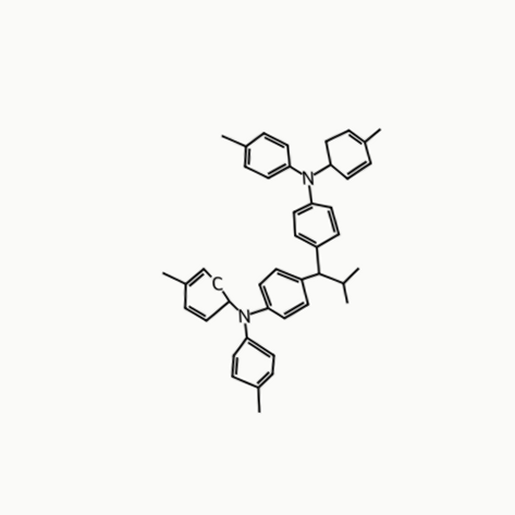 CC1=CCC(N(c2ccc(C)cc2)c2ccc(C(c3ccc(N(c4ccc(C)cc4)C4C=CC(C)=CC4)cc3)C(C)C)cc2)C=C1